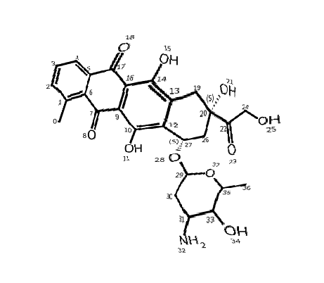 Cc1cccc2c1C(=O)c1c(O)c3c(c(O)c1C2=O)C[C@@](O)(C(=O)CO)C[C@@H]3OC1CC(N)C(O)C(C)O1